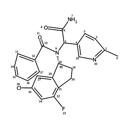 Cc1ccc(C(C(N)=O)N(C(=O)c2ccccc2)[C@@H]2CCc3c(F)cc(Cl)cc32)cn1